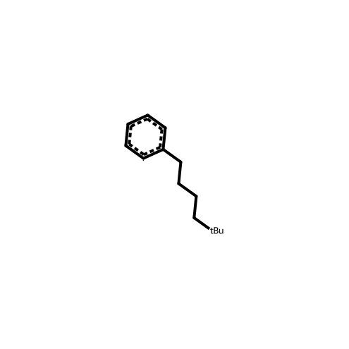 CC(C)(C)CCCCc1[c]cccc1